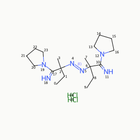 CCC(C)(/N=N/C(C)(CC)C(=N)N1CCCC1)C(=N)N1CCCC1.Cl.Cl